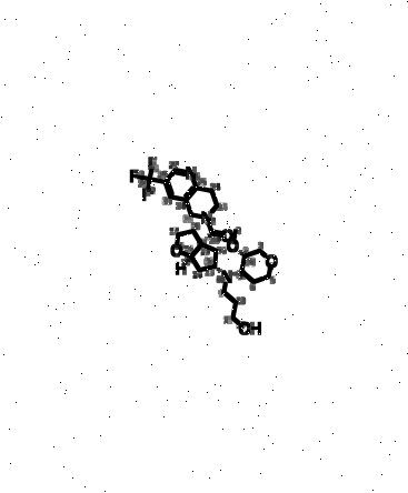 CO[C@@H]1COCC[C@@H]1N(CCCO)[C@@H]1C[C@H]2OCC[C@@]2(C(=O)N2CCc3ncc(C(F)(F)F)cc3C2)C1